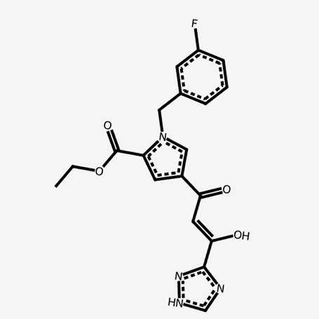 CCOC(=O)c1cc(C(=O)C=C(O)c2nc[nH]n2)cn1Cc1cccc(F)c1